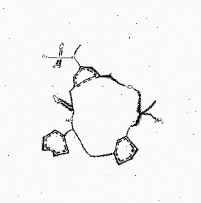 CCS(=O)(=O)N(C)c1cc2cc(c1)C(=O)NC(c1ccccc1)CCc1cccc(c1)CC(C)(N)COC2